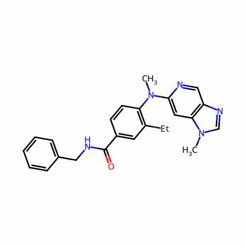 CCc1cc(C(=O)NCc2ccccc2)ccc1N(C)c1cc2c(cn1)ncn2C